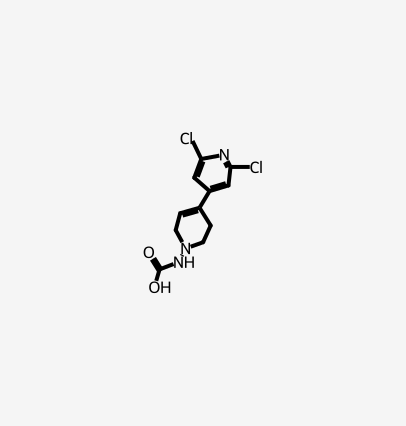 O=C(O)NN1CC=C(c2cc(Cl)nc(Cl)c2)CC1